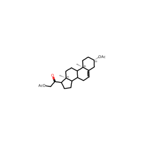 CC(=O)OCC(=O)C1CCC2C3CC=C4C[C@@H](OC(C)=O)CC[C@]4(C)C3CC[C@]12C